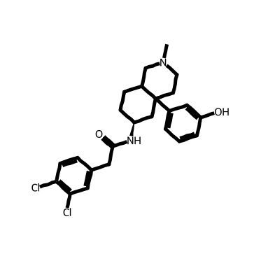 CN1CCC2(c3cccc(O)c3)C[C@@H](NC(=O)Cc3ccc(Cl)c(Cl)c3)CCC2C1